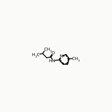 Cc1ccc(NC(=O)CC(C)C)nc1